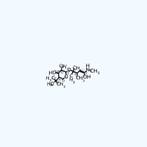 CN/C(O)=C/C(C)C(C)(C)OC1OCC(C(C)(C)O)C(O)C1O